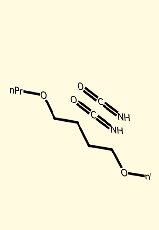 CCCOCCCCOCCC.N=C=O.N=C=O